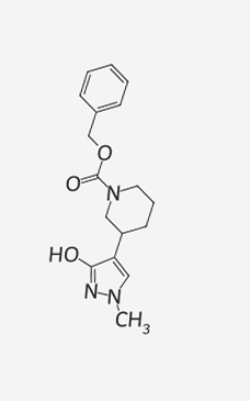 Cn1cc(C2CCCN(C(=O)OCc3ccccc3)C2)c(O)n1